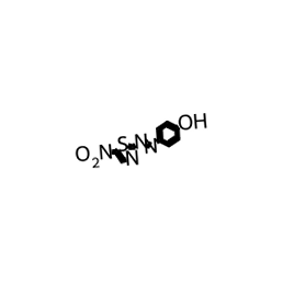 O=[N+]([O-])c1cnc(N=Nc2ccc(O)cc2)s1